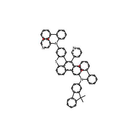 CC1(C)c2ccccc2-c2ccc(N(c3ccc4c(-c5cccnc5)c5c6c(cccc6c4c3)Sc3cc(N(c4cccnc4)c4ccccc4-c4ccccc4)ccc3-5)c3ccccc3-c3ccccc3)cc21